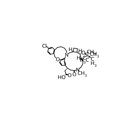 CN1CC/C=C/[C@H](O[Si](C)(C)C(C)(C)C)[C@@H]2CC[C@H]2CN2CCCCc3cc(Cl)ccc3COc3ccc(cc32)[C@H](CC(=O)O)CC1=O